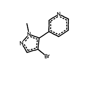 Cn1ncc(Br)c1-c1cccnc1